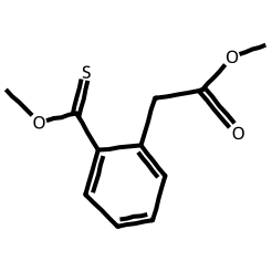 COC(=O)Cc1ccccc1C(=S)OC